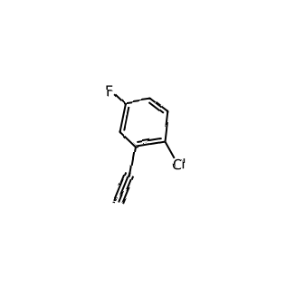 [C]#Cc1cc(F)ccc1Cl